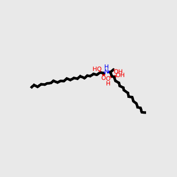 CCCCCCCCCCCCCCCCCCCCCC(O)C(=O)NC(CO)C(O)C(O)CCCCCCCCCCCCCC